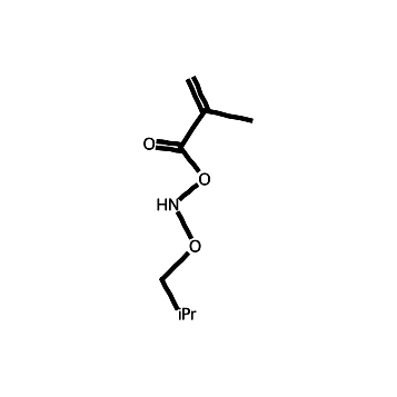 C=C(C)C(=O)ONOCC(C)C